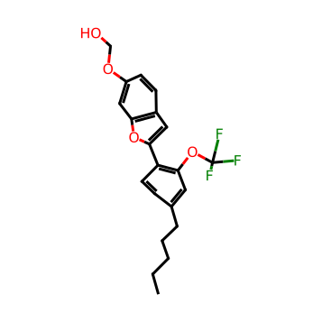 CCCCCc1ccc(-c2cc3ccc(OCO)cc3o2)c(OC(F)(F)F)c1